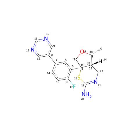 C[C@H]1OC[C@]2(c3cc(-c4cncnc4)ccc3F)SC(N)=NC[C@@H]12